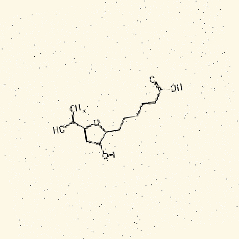 CC(O)C1CC(O)C(CCCCCC(=O)O)O1